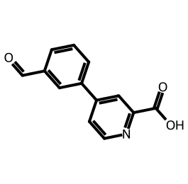 O=Cc1cccc(-c2ccnc(C(=O)O)c2)c1